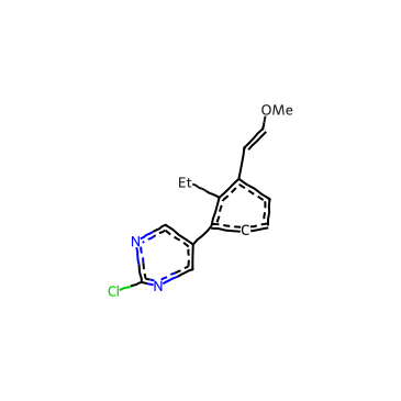 CCc1c(/C=C/OC)cccc1-c1cnc(Cl)nc1